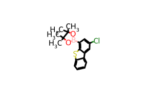 CC1(C)OB(c2cc(Cl)cc3c2sc2ccccc23)OC1(C)C